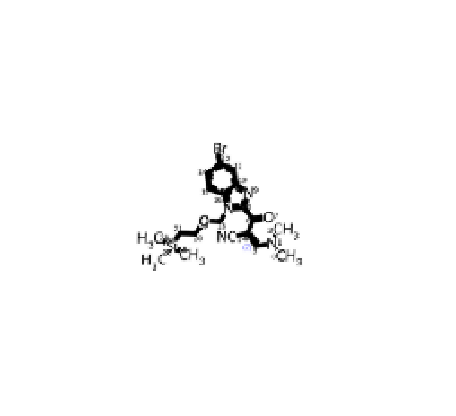 CN(C)/C=C(/C#N)C(=O)c1nc2cc(Br)ccc2n1COCC[Si](C)(C)C